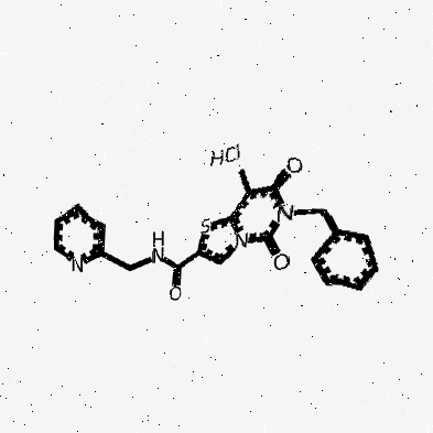 Cc1c(=O)n(Cc2ccccc2)c(=O)n2cc(C(=O)NCc3ccccn3)sc12.Cl